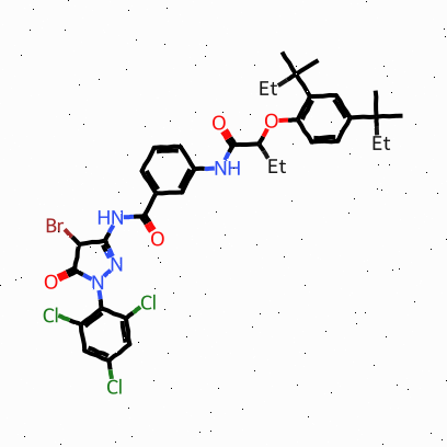 CCC(Oc1ccc(C(C)(C)CC)cc1C(C)(C)CC)C(=O)Nc1cccc(C(=O)NC2=NN(c3c(Cl)cc(Cl)cc3Cl)C(=O)C2Br)c1